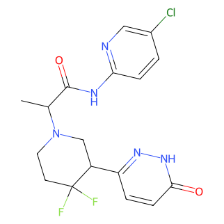 CC(C(=O)Nc1ccc(Cl)cn1)N1CCC(F)(F)C(c2ccc(=O)[nH]n2)C1